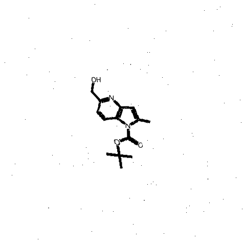 Cc1cc2nc(CO)ccc2n1C(=O)OC(C)(C)C